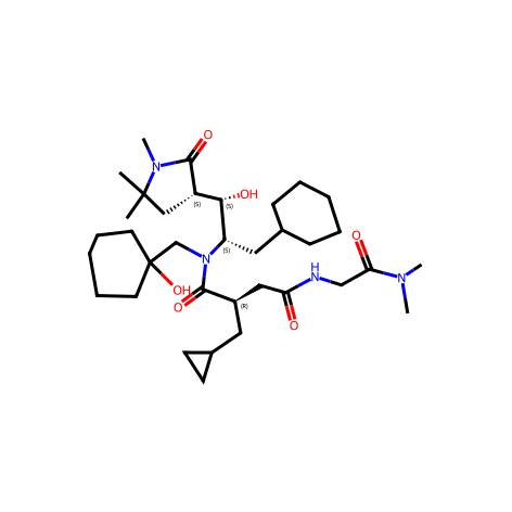 CN(C)C(=O)CNC(=O)C[C@@H](CC1CC1)C(=O)N(CC1(O)CCCCC1)[C@@H](CC1CCCCC1)[C@@H](O)[C@@H]1CC(C)(C)N(C)C1=O